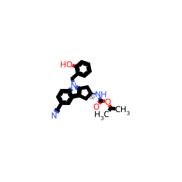 CC(C)OC(=O)N[C@H]1Cc2c(n(Cc3ccccc3O)c3ccc(C#N)cc23)C1